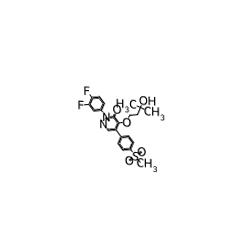 CC(C)(O)CCOc1c(-c2ccc(S(C)(=O)=O)cc2)cnn(-c2ccc(F)c(F)c2)c1=O